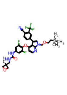 CC1(CNC(=O)Nc2cc(F)c(Oc3ccnc4c3c(-c3ccc(C#N)c(C(F)(F)F)c3)cn4COCC[Si](C)(C)C)c(F)c2)COC1